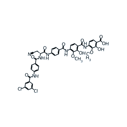 COc1c(NC(=O)c2ccc(NC(=O)c3ccc(NC(=O)[C@H](CC#N)NC(=O)c4ccc(NC(=O)c5cc(Cl)cc(Cl)c5)cc4)cc3)c(OC)c2O)ccc(C(=O)O)c1O